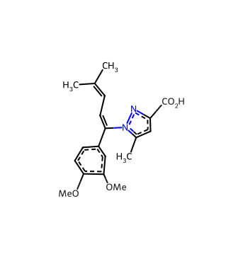 COc1ccc(/C(=C/C=C(C)C)n2nc(C(=O)O)cc2C)cc1OC